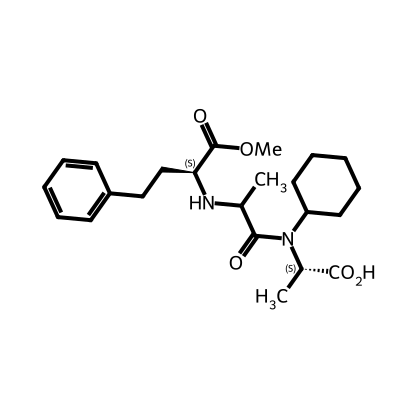 COC(=O)[C@H](CCc1ccccc1)NC(C)C(=O)N(C1CCCCC1)[C@@H](C)C(=O)O